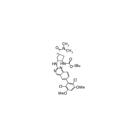 COc1cc(OC)c(Cl)c(-c2ccc3nc(NC4C[C@H](C(=O)N(C)C)CC4NC(=O)OC(C)(C)C)ncc3c2)c1Cl